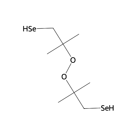 CC(C)(C[SeH])OOC(C)(C)C[SeH]